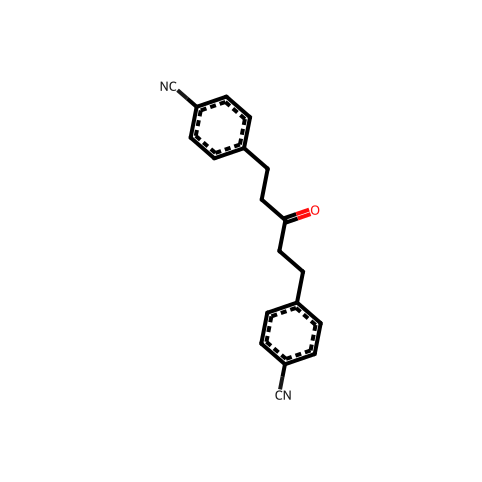 N#Cc1ccc(CCC(=O)CCc2ccc(C#N)cc2)cc1